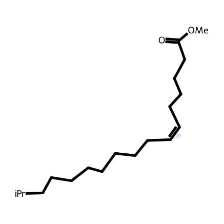 COC(=O)CCCC/C=C\CCCCCCCCC(C)C